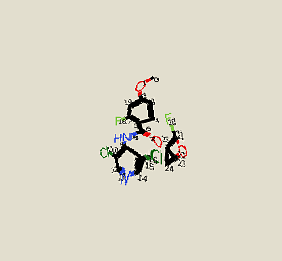 COc1ccc(C(=O)Nc2c(Cl)cncc2Cl)c(F)c1.FC1OC2CC12